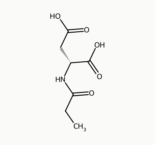 CCC(=O)N[C@H](CC(=O)O)C(=O)O